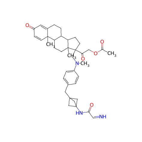 CC(=O)OCC(=O)C1(CN(C)c2ccc(CC34CC(NC(=O)C=N)(C3)C4)cc2)CCC2C3CCC4=CC(=O)C=CC4(C)C3CCC21C